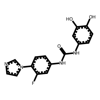 O=C(Nc1ccc(O)c(O)c1)Nc1ccc(-n2ccnc2)c(F)c1